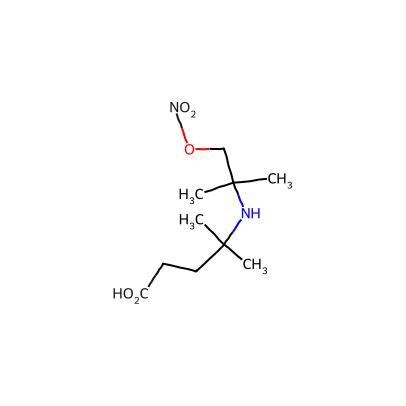 CC(C)(CCC(=O)O)NC(C)(C)CO[N+](=O)[O-]